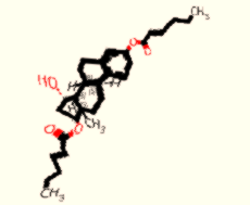 CCCCCC(=O)Oc1ccc2c(c1)CC[C@H]1[C@@H]3[C@@H](O)C[C@H](OC(=O)CCCCC)[C@@]3(C)CC[C@H]21